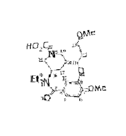 CCN(C(=O)c1ccc(OC)c(OCCCOC)c1)[C@@H]1CCCN(C(=O)O)C1